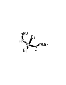 CCCCN[Si](CC)(CC)NCCCC